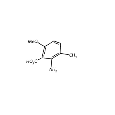 COc1ccc(C)c(N)c1C(=O)O